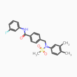 Cc1ccc(N(Cc2ccc(C(=O)Nc3cccc(F)c3)cc2)S(C)(=O)=O)cc1C